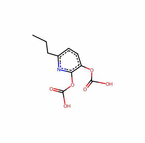 CCCc1ccc(OC(=O)O)c(OC(=O)O)n1